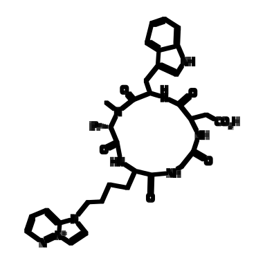 CC(C)[C@H]1C(=O)NC(CCCCn2cc[n+]3ncccc23)C(=O)NCC(=O)NC(CC(=O)O)C(=O)NC(Cc2c[nH]c3ccccc23)C(=O)N1C